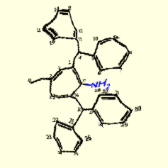 Cc1cc(C(c2ccccc2)c2ccccc2)c(N)c(C(c2ccccc2)c2ccccc2)c1